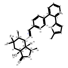 Cc1ccc(-c2ncccc2-c2ccc(/C=C/[C@@H]3[C@@H]4[C@@H](C)OC(=O)[C@]4(O)CC(F)(F)[C@H]3C)nc2)s1